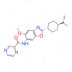 COc1cc2nc([C@H]3CC[C@H](C(C)I)CC3)oc2cc1NC(=O)c1cnccn1